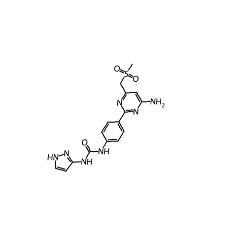 CS(=O)(=O)Cc1cc(N)nc(-c2ccc(NC(=O)Nc3cc[nH]n3)cc2)n1